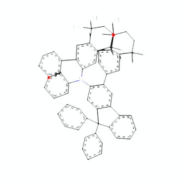 CC1(C)CCC(C)(C)c2cc(-c3cc4c(cc3N(c3ccccc3)c3cc5c(cc3-c3ccccc3)C(C)(C)CCC5(C)C)C(c3ccccc3)(c3ccccc3)c3ccccc3-4)ccc21